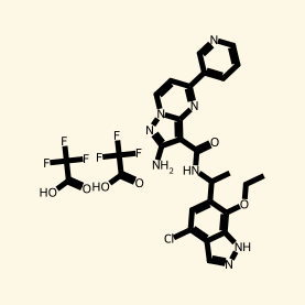 CCOc1c(C(C)NC(=O)c2c(N)nn3ccc(-c4cccnc4)nc23)cc(Cl)c2cn[nH]c12.O=C(O)C(F)(F)F.O=C(O)C(F)(F)F